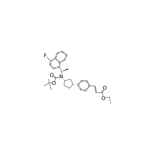 CCOC(=O)/C=C/c1ccc([C@@H]2CC[C@H](N(C(=O)OC(C)(C)C)[C@H](C)c3ccc(F)c4ccccc34)C2)cc1